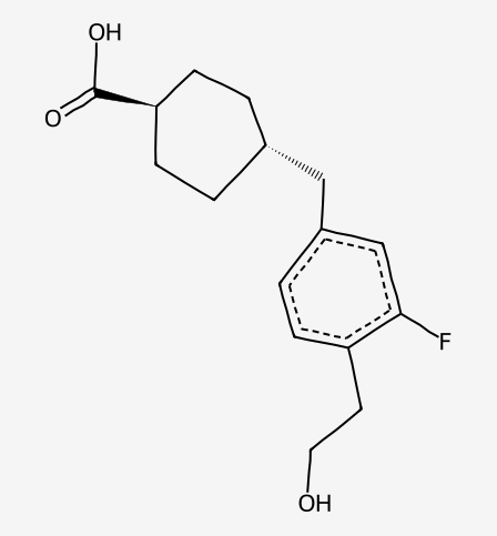 O=C(O)[C@H]1CC[C@H](Cc2ccc(CCO)c(F)c2)CC1